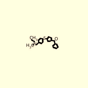 CCCN(C)Cc1ccc(Sc2ccc(C(=O)c3ccccc3)cc2)cc1